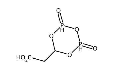 O=C(O)CC1O[PH](=O)O[PH](=O)O1